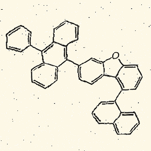 c1ccc(-c2c3ccccc3c(-c3ccc4c(c3)oc3cccc(-c5cccc6ccccc56)c34)c3ccccc23)cc1